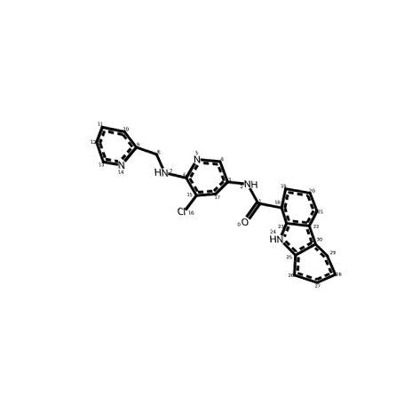 O=C(Nc1cnc(NCc2ccccn2)c(Cl)c1)c1cccc2c1[nH]c1ccccc12